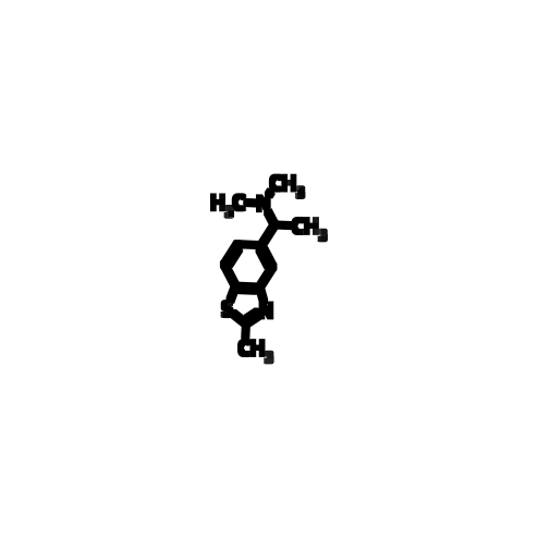 Cc1nc2cc(C(C)N(C)C)ccc2s1